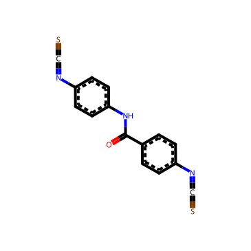 O=C(Nc1ccc(N=C=S)cc1)c1ccc(N=C=S)cc1